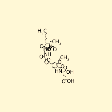 CCCCC[C@@H](C(=O)NCNC(=O)c1ccc(-c2ccc(C(=O)N[C@@H](CCC(=O)O)C(=O)O)c(OCC)c2)o1)[C@@H](CC)N(O)C=O